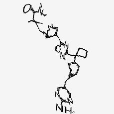 CN(C)C(=O)C(C)(C)Cn1cc(-c2nc(C3(c4ccc(-c5cnc(N)nc5)cc4)CCC3)no2)cn1